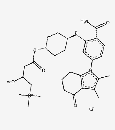 CC(=O)OC(CC(=O)O[C@H]1CC[C@H](Nc2cc(-n3c(C)c(C)c4c3CCCC4=O)ccc2C(N)=O)CC1)C[N+](C)(C)C.[Cl-]